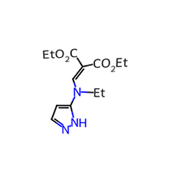 CCOC(=O)C(=CN(CC)c1ccn[nH]1)C(=O)OCC